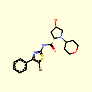 CCc1sc(NC(=O)[C@@H]2C[C@@H](O)CN2C2CCOCC2)nc1-c1ccccc1